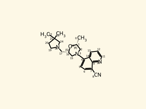 C[C@@H]1CN(c2ccc(C#N)c3ncccc23)C[C@H](CN2CCC(C)(C)C2)O1